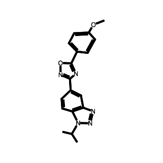 COc1ccc(-c2nc(-c3ccc4c(c3)nnn4C(C)C)no2)cc1